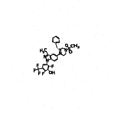 Cc1nn(-c2cc(C(F)(F)F)c(F)c(O)c2F)c2ccc(N3CCN(S(C)(=O)=O)C[C@H]3Cc3ccccc3)cc12